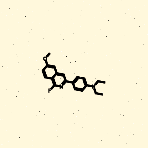 CCN(CC)c1ccc(-c2cc3cc(OC)ccc3c(F)n2)cc1